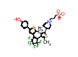 Cc1sc(-c2ccc(O)cc2)cc1C1=C(c2cc(-c3cc[n+](CCCS(=O)(=O)[O-])cc3)sc2C)C(F)(F)C(F)(F)C1(F)F